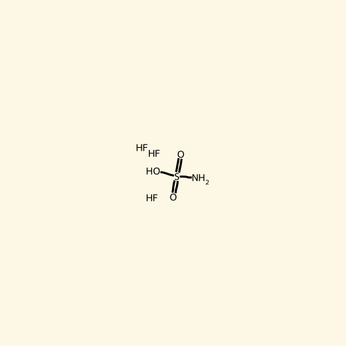 F.F.F.NS(=O)(=O)O